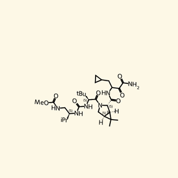 COC(=O)NC[C@@H](NC(=O)N[C@H](C(=O)N1C[C@H]2[C@@H]([C@H]1C(=O)NC(CC1CC1)C(=O)C(N)=O)C2(C)C)C(C)(C)C)C(C)C